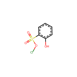 O=S(=O)(OCl)c1ccccc1O